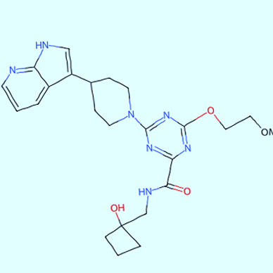 COCCOc1nc(C(=O)NCC2(O)CCC2)nc(N2CCC(c3c[nH]c4ncccc34)CC2)n1